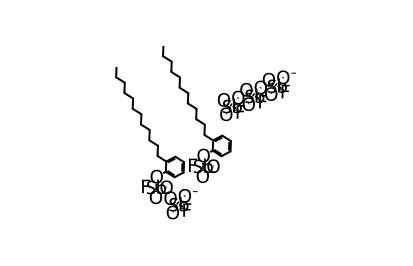 CCCCCCCCCCCCc1ccccc1[O][Sb](=[O])([O-])[F].CCCCCCCCCCCCc1ccccc1[O][Sb](=[O])([O-])[F].[O]=[Sb]([O-])([O-])[F].[O]=[Sb]([O-])([O-])[F].[O]=[Sb]([O-])([O-])[F].[O]=[Sb]([O-])([O-])[F]